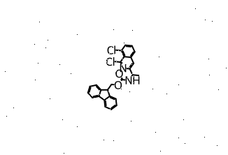 CC(NC(=O)OCC1c2ccccc2-c2ccccc21)c1cc2cccc(Cl)c2c(Cl)n1